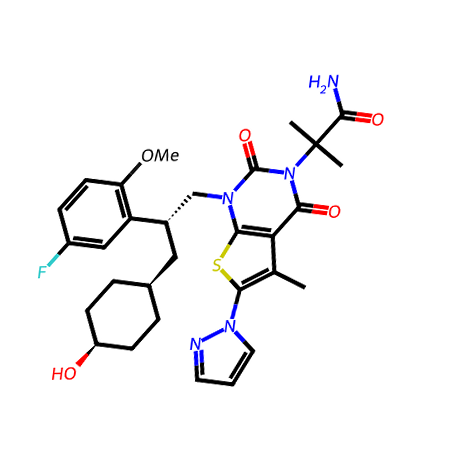 COc1ccc(F)cc1[C@H](Cn1c(=O)n(C(C)(C)C(N)=O)c(=O)c2c(C)c(-n3cccn3)sc21)C[C@H]1CC[C@@H](O)CC1